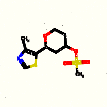 Cc1ncsc1C1CC(OS(C)(=O)=O)CCO1